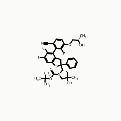 C[C@H](O)COc1ccc(C#N)c(-c2c(Cl)c(F)cc3c2C[C@](c2ccccc2)([C@@H]2C[C@](C)(O)CN2C(=O)OC(C)(C)C)O3)c1F